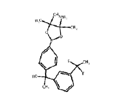 CC(F)(F)c1cccc(C(C)(O)c2ccc(B3OC(C)(C)C(C)(C)O3)cc2)c1